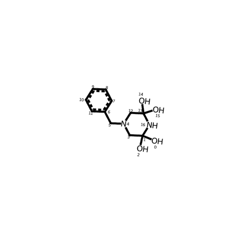 OC1(O)CN(Cc2ccccc2)CC(O)(O)N1